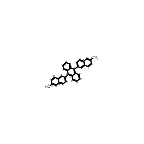 Cc1ccc2cc(-c3c4ccccc4c(-c4ccc5cc(O)ccc5c4)c4ccccc34)ccc2c1